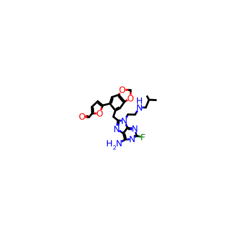 CC(C)CNCCn1c(Cc2cc3c(cc2-c2ccc(C=O)o2)OCO3)nc2c(N)nc(F)nc21